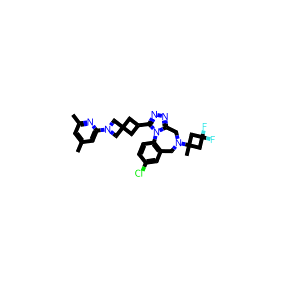 Cc1cc(C)nc(N2CC3(CC(c4nnc5n4-c4ccc(Cl)cc4CN(C4(C)CC(F)(F)C4)C5)C3)C2)c1